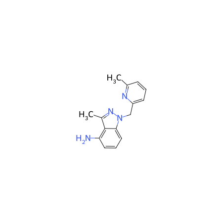 Cc1cccc(Cn2nc(C)c3c(N)cccc32)n1